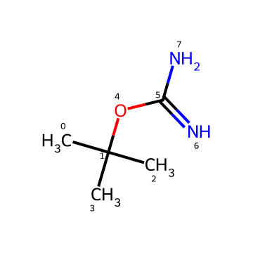 CC(C)(C)OC(=N)N